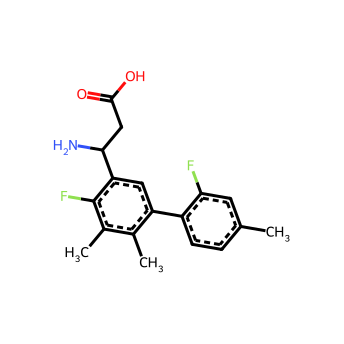 Cc1ccc(-c2cc(C(N)CC(=O)O)c(F)c(C)c2C)c(F)c1